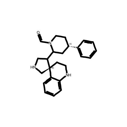 O=CN1CC[C@H](c2ccccc2)CC1C1CNC[C@]12CCNc1ccccc12